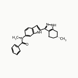 C[C@@H]1CCc2c(-c3cc4ccc(N(C)C(=O)c5ccccc5)cc4[nH]3)n[nH]c2C1